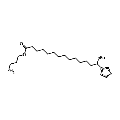 CCCCC(CCCCCCCCCCCCC(=O)OCCCP)n1ccnc1